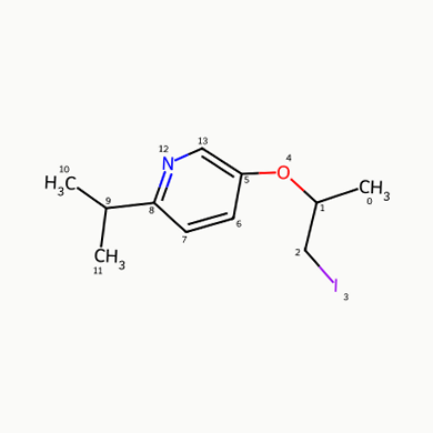 CC(CI)Oc1ccc(C(C)C)nc1